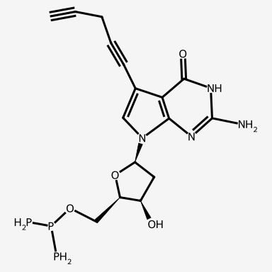 C#CCC#Cc1cn([C@H]2C[C@@H](O)[C@@H](COP(P)P)O2)c2nc(N)[nH]c(=O)c12